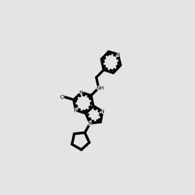 Clc1nc(NCc2ccncc2)c2ncn(C3CCCC3)c2n1